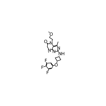 COCCN1C(=O)CN(C)c2nc(N[C@H]3C[C@H](Oc4cc(F)c(F)c(F)c4)C3)nc(C)c21